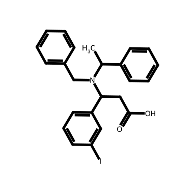 CC(c1ccccc1)N(Cc1ccccc1)C(CC(=O)O)c1cccc(I)c1